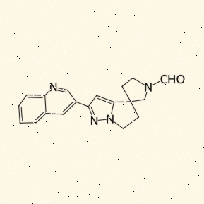 O=CN1CCC2(CCn3nc(-c4cnc5ccccc5c4)cc32)C1